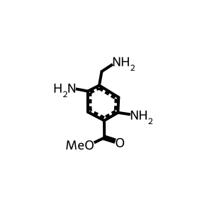 COC(=O)c1cc(N)c(CN)cc1N